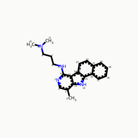 Cc1cnc(NCCCN(C)C)c2c1[nH]c1c3ccccc3ccc12